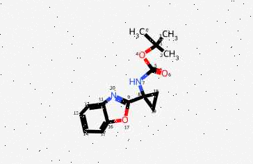 CC(C)(C)OC(=O)NC1(c2nc3ccccc3o2)CC1